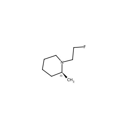 C[C@H]1CCCCN1CCF